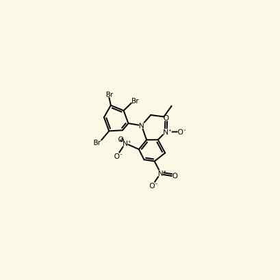 CCCN(c1cc(Br)cc(Br)c1Br)c1c([N+](=O)[O-])cc([N+](=O)[O-])cc1[N+](=O)[O-]